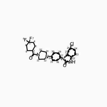 O=C(C1CCC(F)(F)CC1)N1CCN(c2ccc(-n3c(=O)[nH]c4ccc(Cl)cc43)cc2)CC1